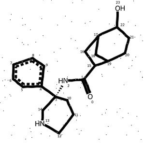 O=C(N[C@]1(c2ccccc2)CCCNC1)C1CC2CC1CCC2O